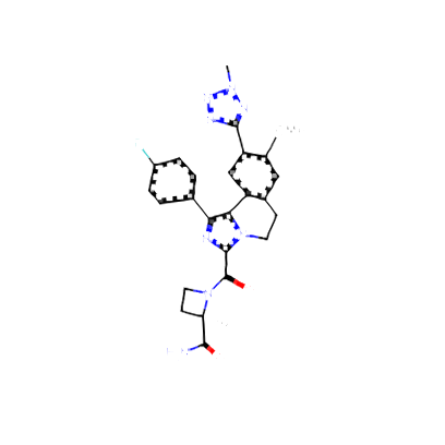 COc1cc2c(cc1-c1nnn(C)n1)-c1c(-c3ccc(F)cc3)nc(C(=O)N3CC[C@]3(C)C(N)=O)n1CC2